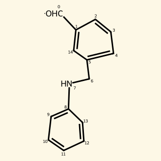 O=[C]c1cccc(CNc2ccccc2)c1